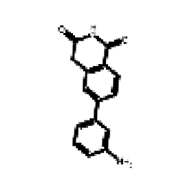 Nc1cccc(-c2ccc3c(c2)CC(=O)NC3=O)c1